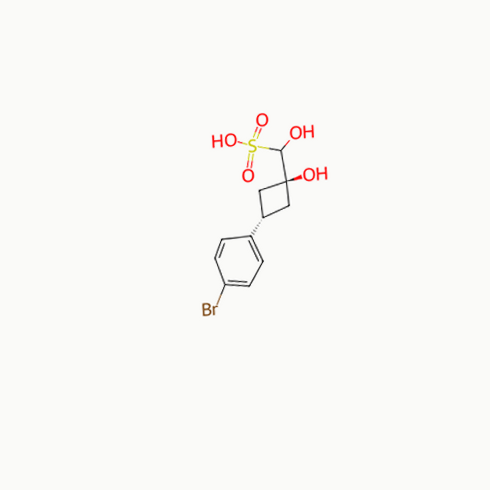 O=S(=O)(O)C(O)[C@]1(O)C[C@H](c2ccc(Br)cc2)C1